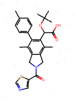 Cc1ccc(-c2c(C)c3c(c(C)c2C(OC(C)(C)C)C(=O)O)CN(C(=O)c2cncs2)C3)cc1